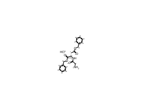 Cl.NCC(=O)N[C@@H](CC(=O)OCc1ccccc1)C(=O)OCc1ccccc1